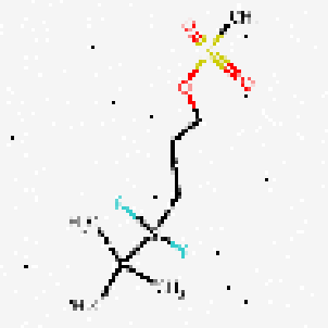 CC(C)(C)[Si](F)(F)CCCOS(C)(=O)=O